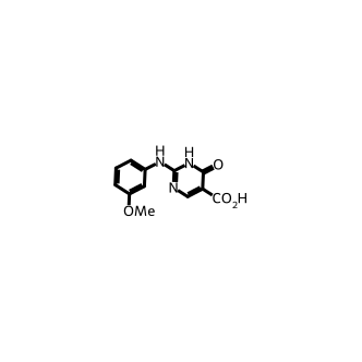 COc1cccc(Nc2ncc(C(=O)O)c(=O)[nH]2)c1